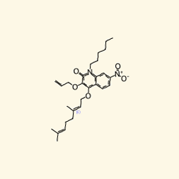 C=CCOc1c(OC/C=C(\C)CCC=C(C)C)c2ccc([N+](=O)[O-])cc2n(CCCCCC)c1=O